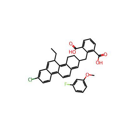 CCC1C=c2cc(Cl)ccc2=c2ccc3c(c21)CCC(Cc1c(C(=O)O)cccc1C(=O)O)C=3.COc1cccc(F)c1